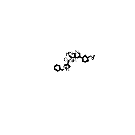 CN(C)Cc1cccc(-c2cnc3[nH]cc(NC(=O)c4cnn(Cc5ccccc5)c4)c3c2)c1